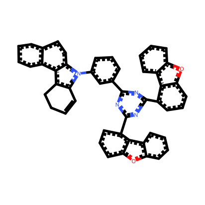 C1=Cc2c(c3c4ccccc4ccc3n2-c2cccc(-c3nc(-c4cccc5oc6ccccc6c45)nc(-c4cccc5oc6ccccc6c45)n3)c2)CC1